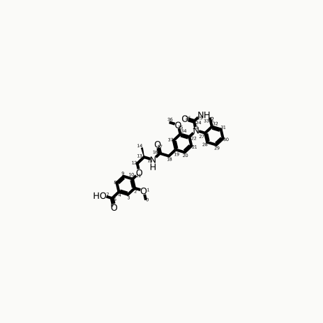 COc1cc(C(=O)O)ccc1OC[C@@H](C)NC(=O)Cc1ccc(N(C(N)=O)c2ccccc2C)c(OC)c1